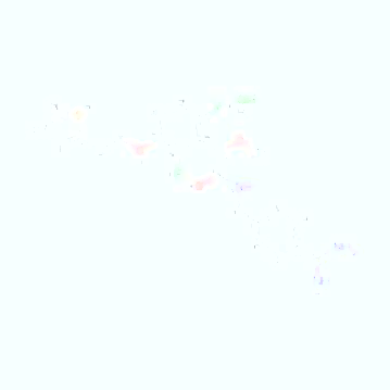 CCOC(C(=O)NCc1ccc(C(=N)N)cc1)c1c(F)ccc(OCCc2cccs2)c1F.Cl